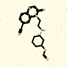 N#Cc1ccc2ncc(=O)n(CCN[C@H]3CCCC(OC=O)C3)c2c1